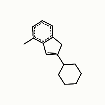 Cc1cccc2c1C=C(C1CCCCC1)C2